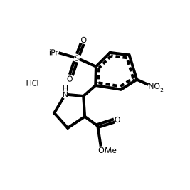 COC(=O)C1CCNC1c1cc([N+](=O)[O-])ccc1S(=O)(=O)C(C)C.Cl